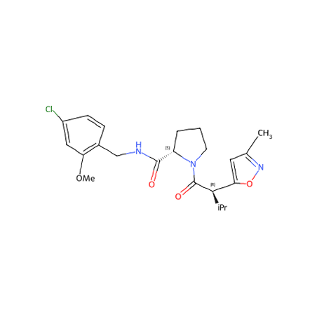 COc1cc(Cl)ccc1CNC(=O)[C@@H]1CCCN1C(=O)[C@@H](c1cc(C)no1)C(C)C